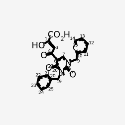 O=C(O)/C(O)=C/C(=O)c1cn(Cc2ccccc2)c(=O)n(Cc2ccccc2)c1=O